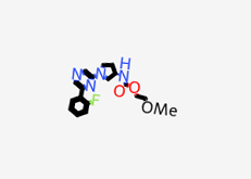 COCCOC(=O)N[C@@H]1CCN(c2cncc(-c3ccccc3F)n2)C1